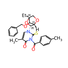 CC[C@@]12CO[C@@H](C1OCc1ccccc1)[C@H](n1cc(C)c(=O)n(C(=O)c3ccc(C)cc3)c1=S)O2